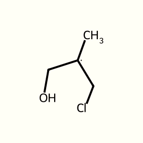 C[C](CO)CCl